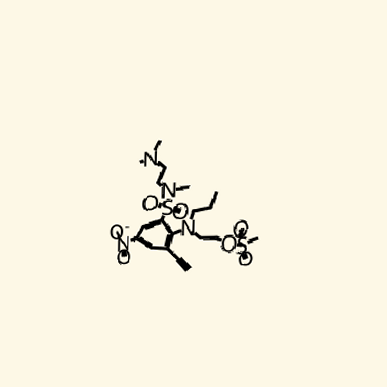 C#Cc1cc([N+](=O)[O-])cc(S(=O)(=O)N(C)CCN(C)C)c1N(CCC)CCOS(C)(=O)=O